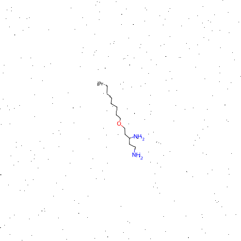 CC(C)CCCCCCCOCCC(N)CCN